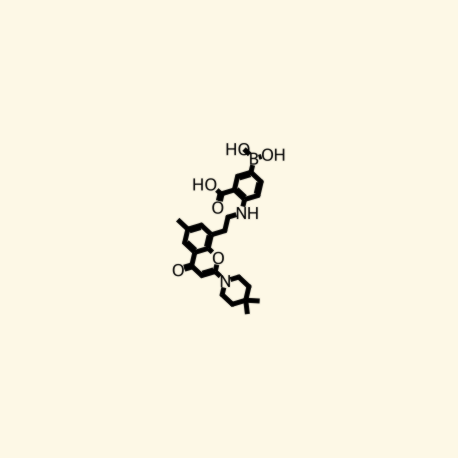 Cc1cc(CCNc2ccc(B(O)O)cc2C(=O)O)c2oc(N3CCC(C)(C)CC3)cc(=O)c2c1